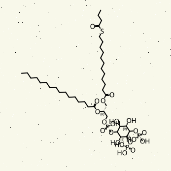 CCCCCCCCCCCCCCCC(=O)O[C@H](COC(=O)CCCCCCCCCCCSC(=O)CCC)COP(=O)(O)OC1C(O)[C@@H](O)C(OP(=O)(O)O)[C@@H](OP(=O)(O)O)[C@H]1O